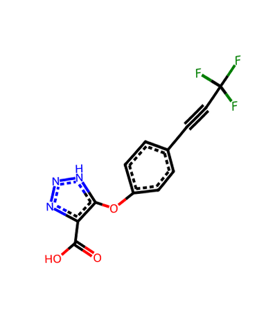 O=C(O)c1nn[nH]c1Oc1ccc(C#CC(F)(F)F)cc1